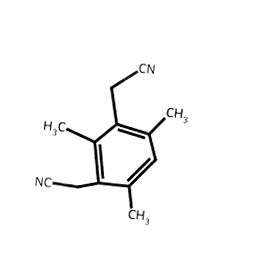 Cc1cc(C)c(CC#N)c(C)c1CC#N